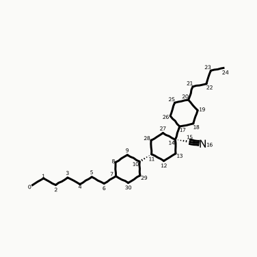 CCCCCCCC1CCC([C@H]2CC[C@](C#N)(C3CCC(CCCC)CC3)CC2)CC1